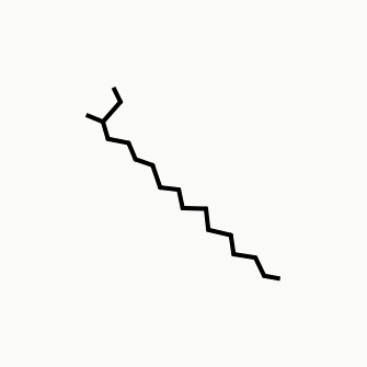 CCCCCCCCCCCCCCC(C)CC